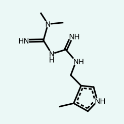 Cc1c[nH]cc1CNC(=N)NC(=N)N(C)C